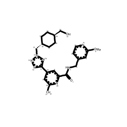 COc1cc(CNC(=O)c2cc(-c3nnn(C[C@H]4CC[C@H](CO)CC4)n3)cc(C)n2)ccn1